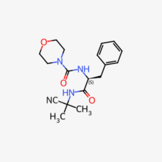 CC(C)(C#N)NC(=O)[C@H](Cc1ccccc1)NC(=O)N1CCOCC1